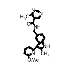 COc1cccc(-c2c(C)[nH]c3ccc(CNC(=O)c4cncnc4C)cc23)n1